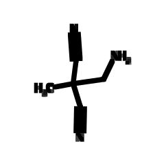 CC(C#N)(C#N)CN